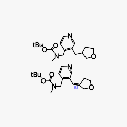 CN(Cc1ccncc1/C=C1\CCOC1)C(=O)OC(C)(C)C.CN(Cc1ccncc1CC1CCOC1)C(=O)OC(C)(C)C